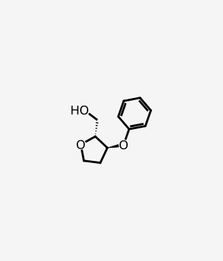 OC[C@H]1OCC[C@@H]1Oc1ccccc1